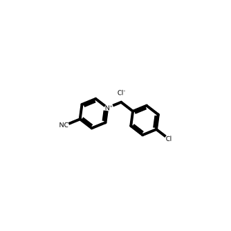 N#Cc1cc[n+](Cc2ccc(Cl)cc2)cc1.[Cl-]